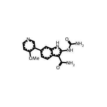 COc1ccncc1-c1ccc2c(C(N)=O)c(NC(N)=O)[nH]c2c1